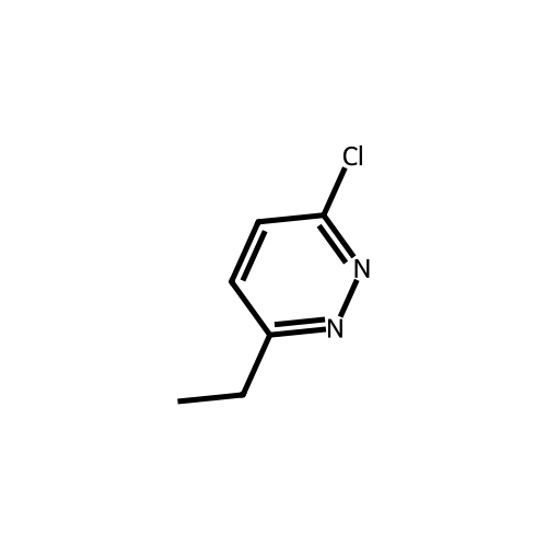 CCc1ccc(Cl)nn1